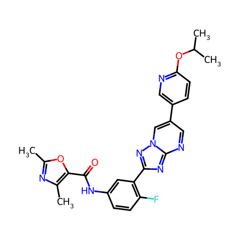 Cc1nc(C)c(C(=O)Nc2ccc(F)c(-c3nc4ncc(-c5ccc(OC(C)C)nc5)cn4n3)c2)o1